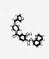 O=C(c1ccc(NSc2cccc3cccnc23)c(O)c1)N1CCN(CC2CCOC2)CC1